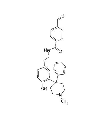 CN1CCC(c2ccccc2)(c2cc(CCNC(=O)c3ccc(C=O)cc3)ccc2O)CC1